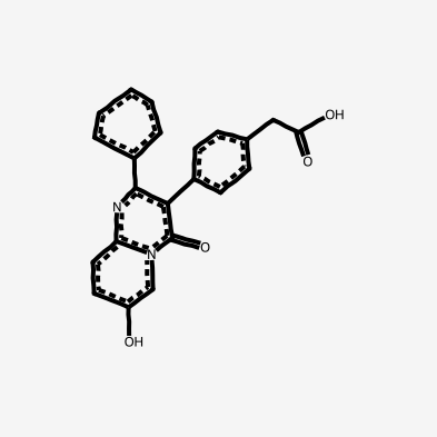 O=C(O)Cc1ccc(-c2c(-c3ccccc3)nc3ccc(O)cn3c2=O)cc1